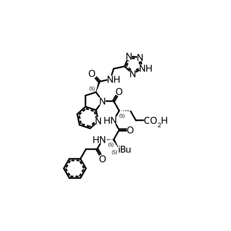 CC[C@H](C)[C@H](NC(=O)Cc1ccccc1)C(=O)N[C@@H](CCC(=O)O)C(=O)N1c2ncccc2C[C@H]1C(=O)NCc1nn[nH]n1